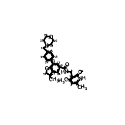 Cc1cc(C)c(CNC(=O)c2cc(-c3ccc(CN4CCOCC4)cc3)c3c(c2)C(C)CO3)c(=O)[nH]1